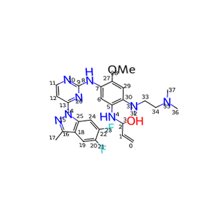 C=CC(O)Nc1cc(Nc2nccc(-n3nc(C)c4cc(F)c(F)cc43)n2)c(OC)cc1N(C)CCN(C)C